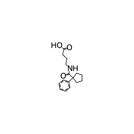 O=C(O)CCCNC(=O)C1(c2ccccc2)CCCC1